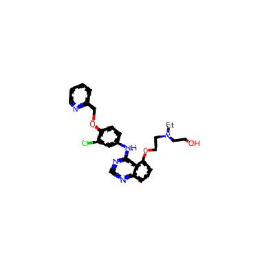 CCN(CCO)CCOc1cccc2ncnc(Nc3ccc(OCc4ccccn4)c(Cl)c3)c12